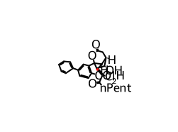 CCCCCC(=O)C(Cl)=C[C@H]1[C@H]2CC(=O)OC1(c1cc(-c3ccccc3)ccc1C(=O)O)C[C@H]2O